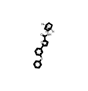 O=C(N[C@@H]1C[C@H]2CC[C@@H]1N2)c1ccc(-c2cccc(Sc3ccccc3)c2)o1